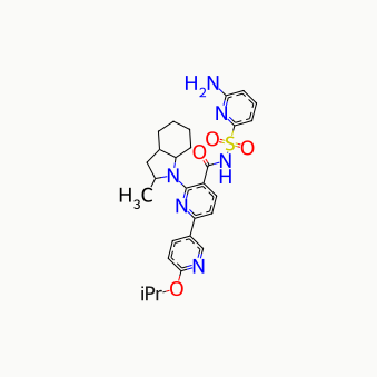 CC(C)Oc1ccc(-c2ccc(C(=O)NS(=O)(=O)c3cccc(N)n3)c(N3C(C)CC4CCCCC43)n2)cn1